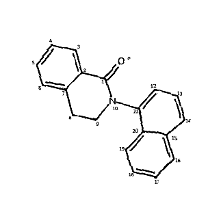 O=C1c2ccccc2CCN1c1cccc2ccccc12